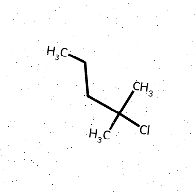 CC[CH]C(C)(C)Cl